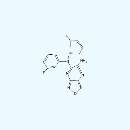 Nc1nc2nonc2nc1N(c1cccc(F)c1)c1cccc(F)c1